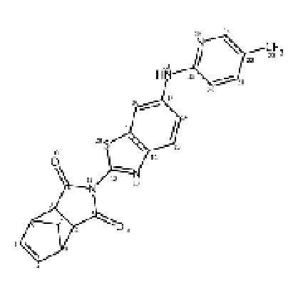 O=C1C2C3C=CC(C3)C2C(=O)N1c1nc2ccc(Nc3ccc(C(F)(F)F)cn3)cc2s1